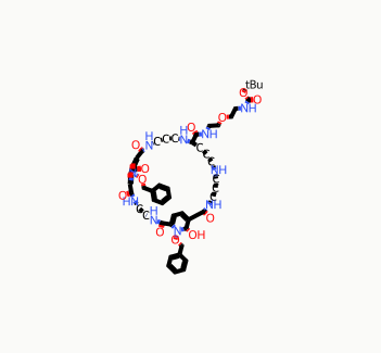 CC(C)(C)OC(=O)NCCOCCNC(=O)C1CCCNCCCNC(=O)C2=CC=C(C(=O)NCCNC(=O)c3ccc(c(=O)n3OCc3ccccc3)C(=O)NCCCN1)N(OCc1ccccc1)C2O